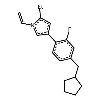 C=Cn1cc(-c2ccc(CC3CCCC3)cc2F)cc1CC